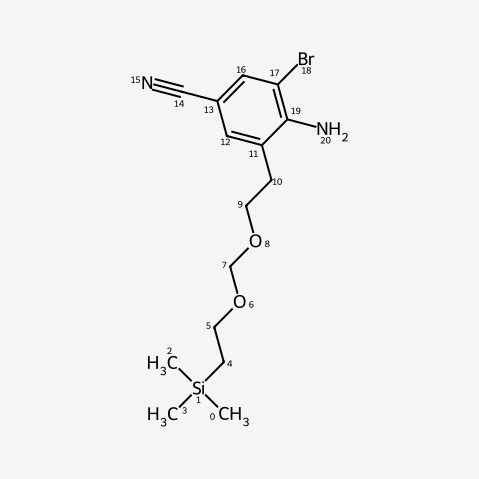 C[Si](C)(C)CCOCOCCc1cc(C#N)cc(Br)c1N